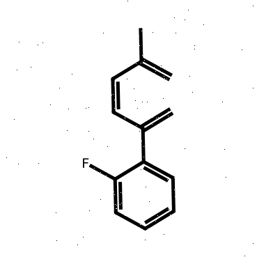 C=C(C)/C=C\C(=C)c1ccccc1F